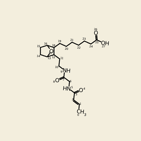 CC=CC(=O)NCC(=O)NCCC1C2CCC(O2)C1CCCCCCC(=O)O